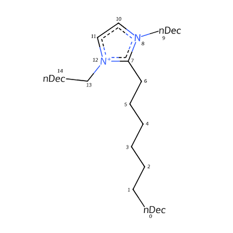 CCCCCCCCCCCCCCCCc1n(CCCCCCCCCC)cc[n+]1CCCCCCCCCCC